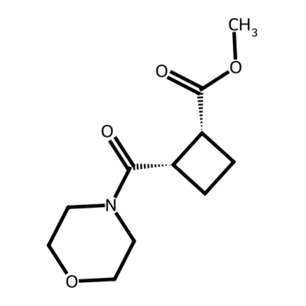 COC(=O)[C@@H]1CC[C@@H]1C(=O)N1CCOCC1